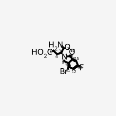 NC(=O)C(CCC(=O)O)N1Cc2c(Br)cc(F)cc2C1=O